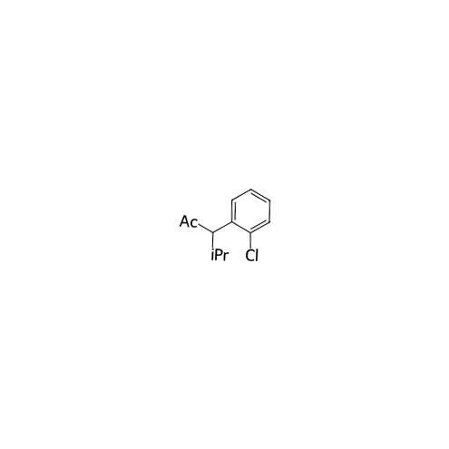 CC(=O)C(c1ccccc1Cl)C(C)C